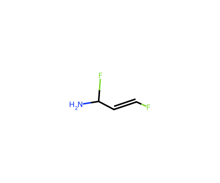 NC(F)C=CF